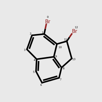 Brc1ccc2cccc3c2c1C(Br)C3